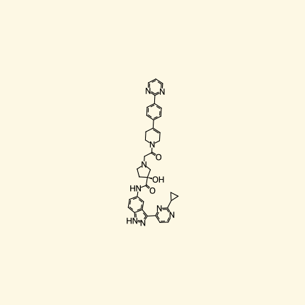 O=C(CN1CC[C@@](O)(C(=O)Nc2ccc3[nH]nc(-c4ccnc(C5CC5)n4)c3c2)C1)N1CC=C(c2ccc(-c3ncccn3)cc2)CC1